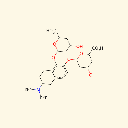 CCCN(CCC)C1CCc2c(ccc(OC3CC(O)CC(C(=O)O)O3)c2OC2CC(O)CC(C(=O)O)O2)C1